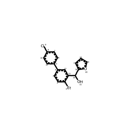 CCc1ccc(-c2ccc(Cl)cc2)cc1C(O)c1ccco1